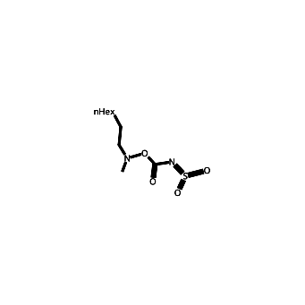 CCCCCCCCN(C)OC(=O)N=S(=O)=O